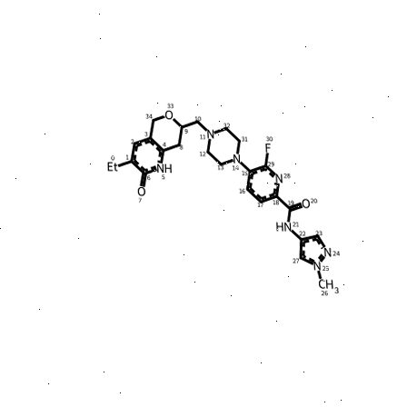 CCc1cc2c([nH]c1=O)CC(CN1CCN(c3ccc(C(=O)Nc4cnn(C)c4)nc3F)CC1)OC2